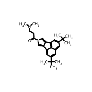 CN(C)CCC(=O)n1cc2c(c1)-c1cc(C(C)(C)C)cc3cc(C(C)(C)C)cc-2c13